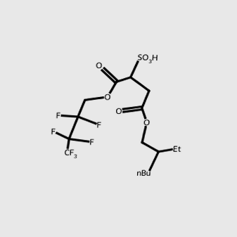 CCCCC(CC)COC(=O)CC(C(=O)OCC(F)(F)C(F)(F)C(F)(F)F)S(=O)(=O)O